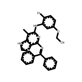 CCc1ccc(OCC#N)cc1Nc1nc(N=C(c2ccccc2)c2ccccc2)c2nc[nH]c2c1C